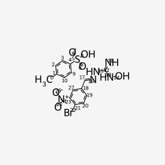 Cc1ccc(S(=O)(=O)O)cc1.N=C(NO)NN=Cc1ccc(Br)c([N+](=O)[O-])c1